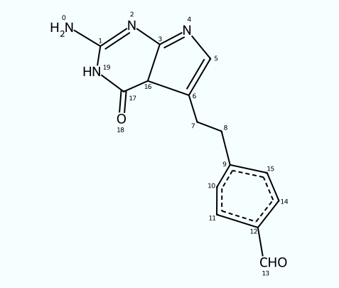 NC1=NC2=NC=C(CCc3ccc(C=O)cc3)C2C(=O)N1